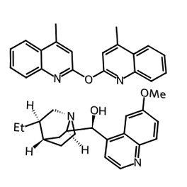 CC[C@H]1C[N@]2CC[C@H]1C[C@@H]2[C@@H](O)c1ccnc2ccc(OC)cc12.Cc1cc(Oc2cc(C)c3ccccc3n2)nc2ccccc12